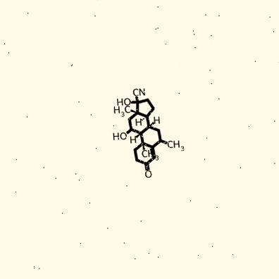 CC1C[C@@H]2[C@@H](C(O)C[C@@]3(C)[C@H]2CCC3(O)C#N)[C@@]2(C)CCC(=O)C=C12